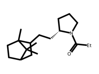 CCC(=O)N1CCC[C@H]1CCC1CC2CCC1(C)C2(C)C